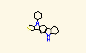 C1=C2C3CSCC3N(C3CCCCC3)C2CC2=C1NC1CCCCC21